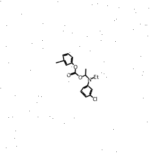 CCN(c1cccc(Cl)c1)C(C)OC(=O)Oc1cccc(C)c1